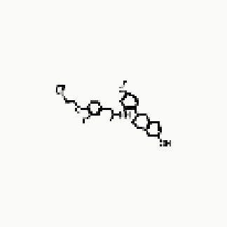 COc1ccc(C2CCc3cc(O)ccc3C2)c(NC(C)Cc2ccc(OCCN3CCC3)c(F)c2)c1